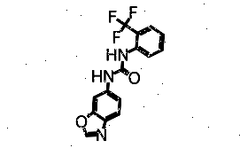 O=C(Nc1ccc2ncoc2c1)Nc1ccccc1C(F)(F)F